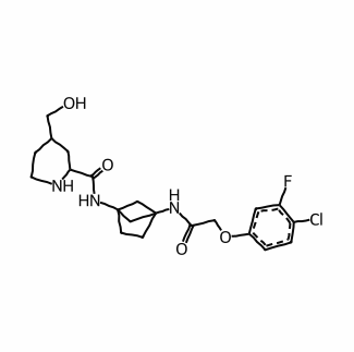 O=C(COc1ccc(Cl)c(F)c1)NC12CCC(NC(=O)C3CC(CO)CCN3)(C1)C2